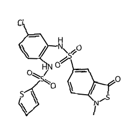 Cn1sc(=O)c2cc(S(=O)(=O)Nc3cc(Cl)ccc3NS(=O)(=O)c3cccs3)ccc21